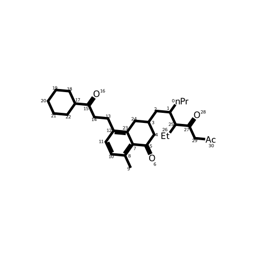 CCCC(CC1CC(=O)c2c(C)ccc(CCC(=O)C3CCCCC3)c2C1)C(CC)C(=O)CC(C)=O